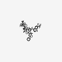 C=C[C@@H]1C[C@]1(NC(=O)[C@@H]1C[C@@H](Sc2ccnc3cc(C(F)(F)F)ccc23)CN1C(=O)C(CC(=O)N1CCCCC1)C(C)(C)C)C(=O)NS(=O)(=O)C1CC1